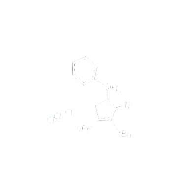 CCCC1=C(C(C)(C)C)[C]([Ti+3])=C([SiH2]c2ccccc2)C1.[Cl-].[Cl-].[Cl-]